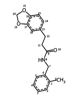 Cc1ccccc1CNC(=O)CCc1ccc2c(c1)OCO2